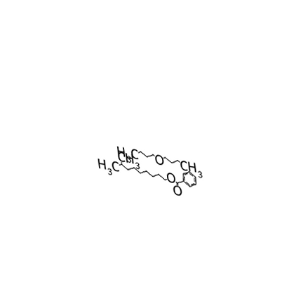 CC(C)CCCCCCCOC(=O)c1ccccc1.CCCCOCCCC